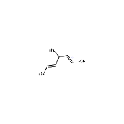 CCCCC=CC(/C=C/O)CCC